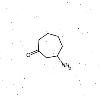 NC1CCCCC(=O)C1